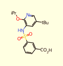 CC(C)Oc1ncc(C(C)(C)C)cc1NS(=O)(=O)c1cccc(C(=O)O)c1